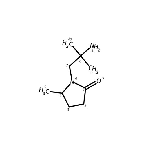 CC1CCC(=O)N1CC(C)(C)N